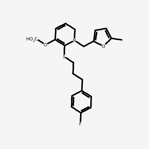 Cc1ccc(CN2CC=CC(OC(=O)O)=C2SCCCc2ccc(F)cc2)o1